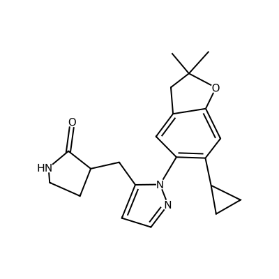 CC1(C)Cc2cc(-n3nccc3CC3CCNC3=O)c(C3CC3)cc2O1